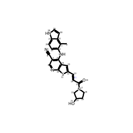 Cc1c(Nc2c(C#N)cnc3sc(/C=C/C(=O)N4CCC(O)C4)cc23)ccc2[nH]ccc12